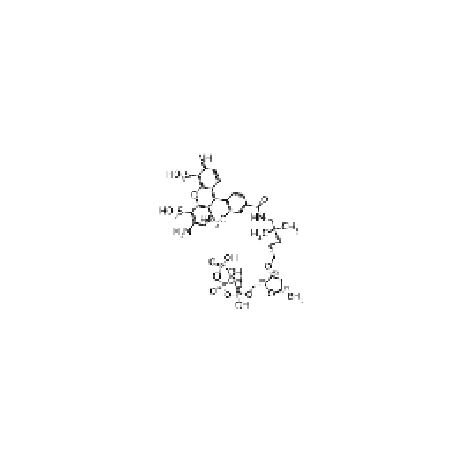 B[C@H]1C[C@@H](OCSSC(C)(C)CNC(=O)c2ccc(-c3c4ccc(=N)c(S(=O)(=O)O)c-4oc4c(S(=O)(=O)O)c(N)ccc34)c(C(=O)O)c2)[C@@H](COP(=O)(O)OP(=O)(O)OP(=O)(O)O)O1